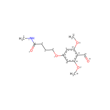 CNC(=O)CCCOc1cc(OC)c(C=O)c(OC)c1